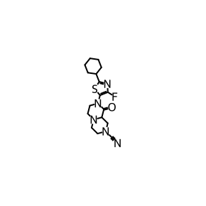 N#CN1CCN2CCN(c3sc(C4CCCCC4)nc3F)C(=O)C2C1